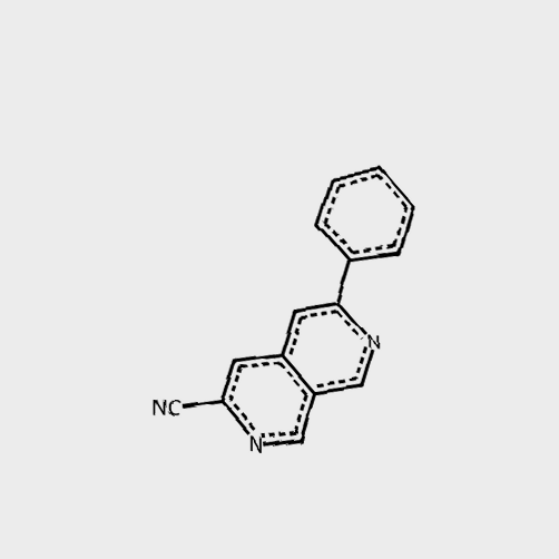 N#Cc1cc2cc(-c3ccccc3)ncc2cn1